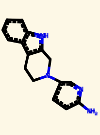 Nc1ccc(N2CCc3c([nH]c4ccccc34)C2)cn1